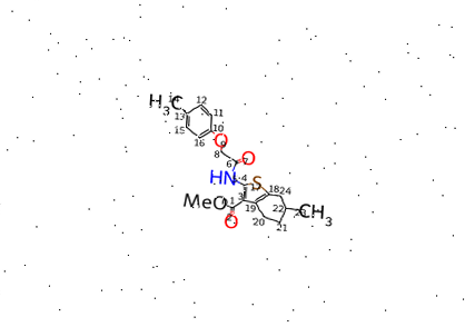 COC(=O)c1c(NC(=O)COc2ccc(C)cc2)sc2c1CCC(C)C2